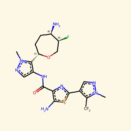 Cn1ncc(NC(=O)c2nc(-c3cnn(C)c3C(F)(F)F)sc2N)c1[C@@H]1CC[C@@H](N)[C@@H](F)CO1